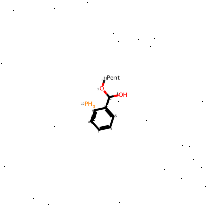 CCCCCOC(O)c1ccccc1.P